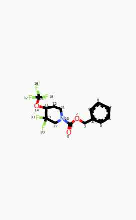 O=C(OCc1ccccc1)N1CCC(OC(F)(F)F)C(F)(F)C1